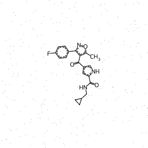 Cc1onc(-c2ccc(F)cc2)c1C(=O)c1c[nH]c(C(=O)NCC2CC2)c1